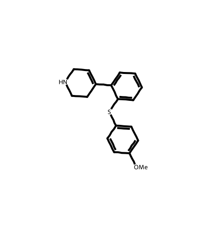 COc1ccc(Sc2ccccc2C2=CCNCC2)cc1